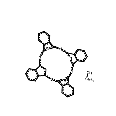 [OH][GaH2].c1ccc2c(c1)-c1nc-2nc2[nH]c(nc3nc(nc4[nH]c(n1)c1ccccc41)-c1ccccc1-3)c1ccccc21